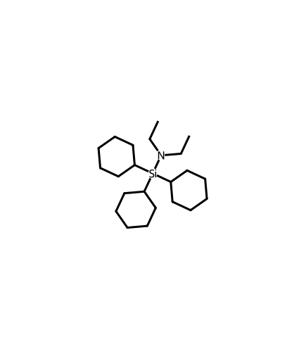 CCN(CC)[Si](C1CCCCC1)(C1CCCCC1)C1CCCCC1